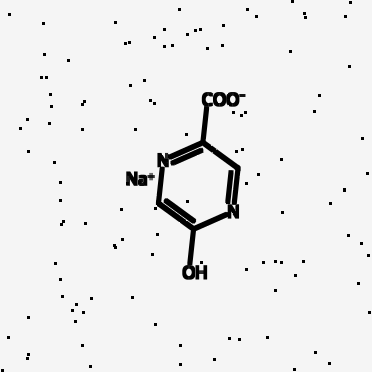 O=C([O-])c1cnc(O)cn1.[Na+]